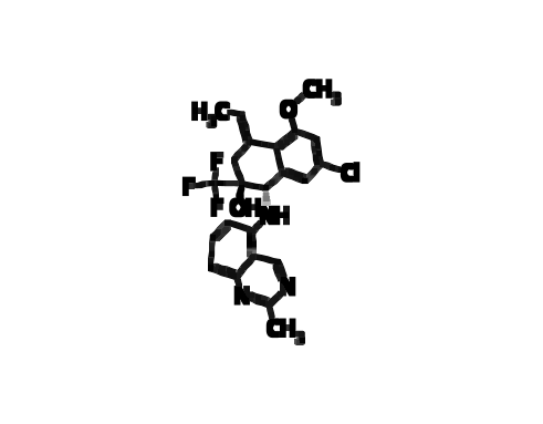 C/C=C1\C[C@@](O)(C(F)(F)F)[C@@H](Nc2cccc3nc(C)ncc23)c2cc(Cl)cc(OC)c21